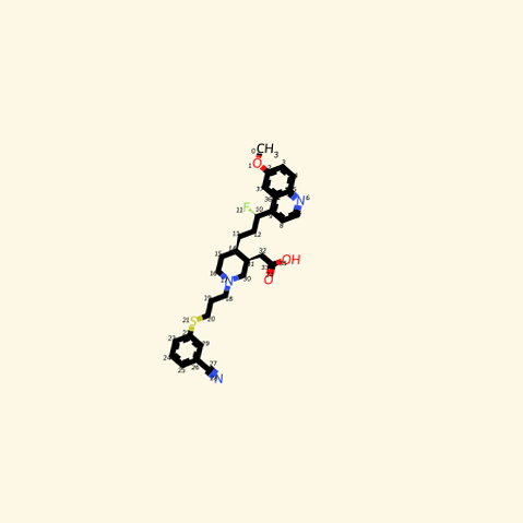 COc1ccc2nccc([C@@H](F)CC[C@@H]3CCN(CCCSc4cccc(C#N)c4)C[C@@H]3CC(=O)O)c2c1